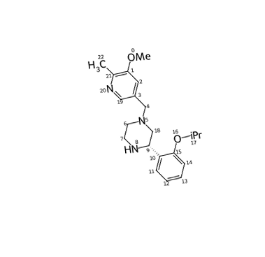 COc1cc(CN2CCN[C@@H](c3ccccc3OC(C)C)C2)cnc1C